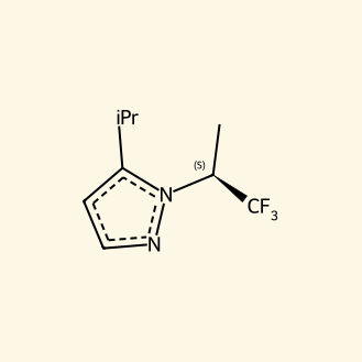 CC(C)c1ccnn1[C@@H](C)C(F)(F)F